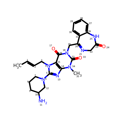 CC=CCn1c(N2CCCC(N)C2)nc2c1c(=O)n(CC1=NCC(=O)Nc3ccccc31)c(=O)n2C